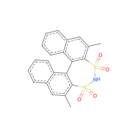 Cc1cc2ccccc2c2c1S(=O)(=O)NS(=O)(=O)c1c(C)cc3ccccc3c1-2